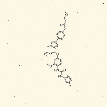 C=C/C=C(/Oc1ccc(NC(=O)Nc2cc(C)on2)c(OC)c1)c1sc(-c2ccc(CNCCOC)cn2)cc1C